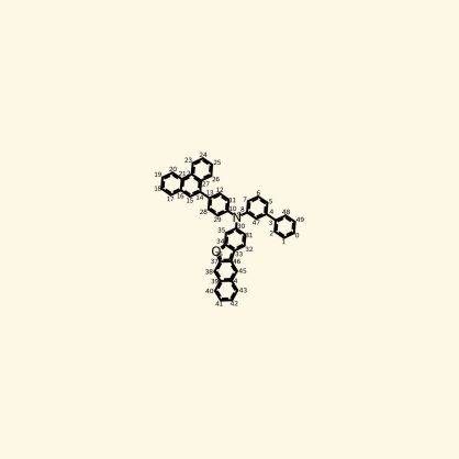 c1ccc(-c2cccc(N(c3ccc(-c4cc5ccccc5c5ccccc45)cc3)c3ccc4c(c3)oc3cc5ccccc5cc34)c2)cc1